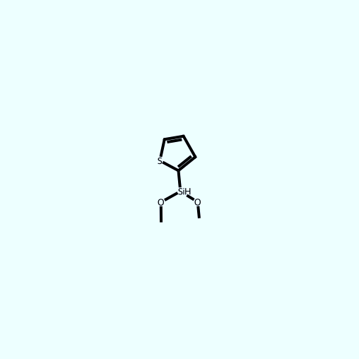 CO[SiH](OC)c1cccs1